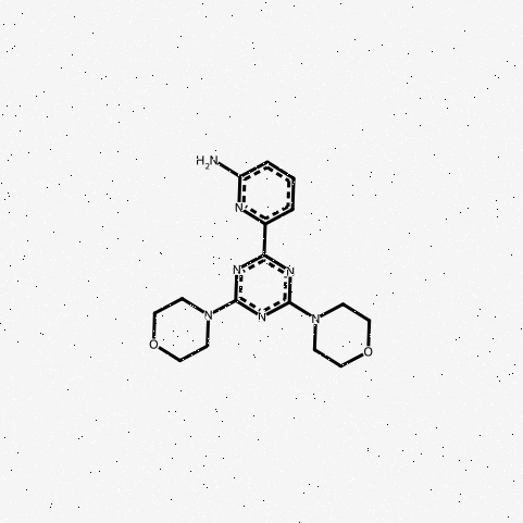 Nc1cccc(-c2nc(N3CCOCC3)nc(N3CCOCC3)n2)n1